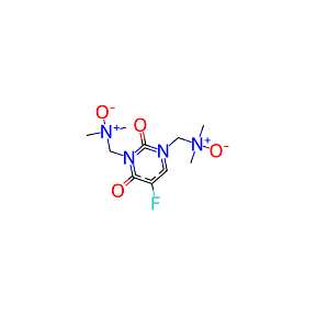 C[N+](C)([O-])Cn1cc(F)c(=O)n(C[N+](C)(C)[O-])c1=O